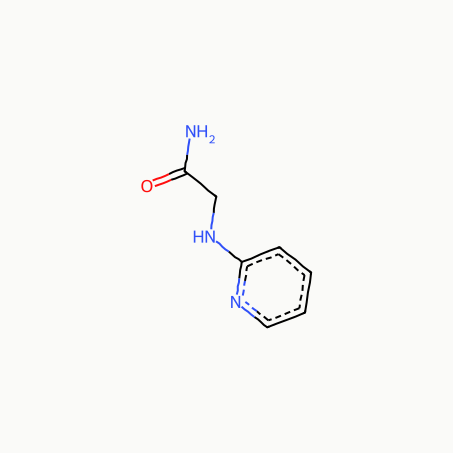 NC(=O)CNc1ccccn1